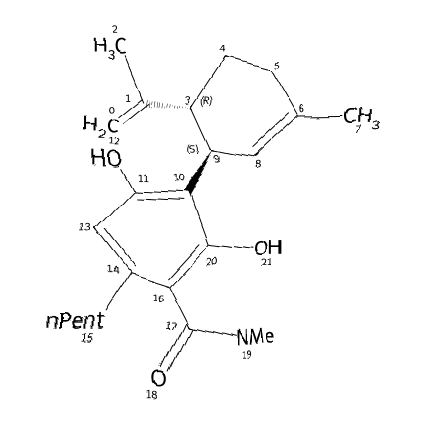 C=C(C)[C@@H]1CCC(C)=C[C@H]1c1c(O)cc(CCCCC)c(C(=O)NC)c1O